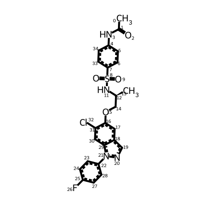 CC(=O)Nc1ccc(S(=O)(=O)N[C@@H](C)COc2cc3cnn(-c4ccc(F)cc4)c3cc2Cl)cc1